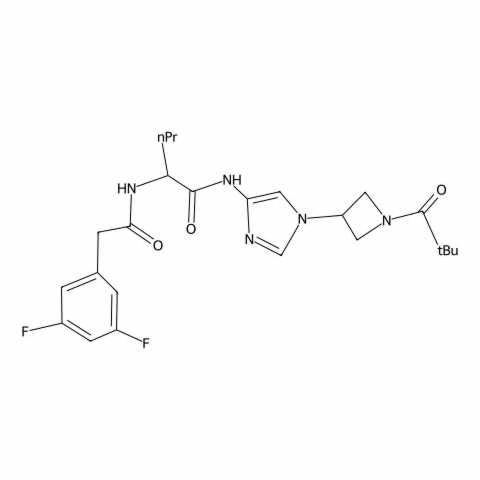 CCCC(NC(=O)Cc1cc(F)cc(F)c1)C(=O)Nc1cn(C2CN(C(=O)C(C)(C)C)C2)cn1